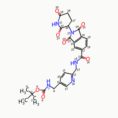 CC(C)(C)OC(=O)NCc1ccc(CNC(=O)c2ccc3c(c2)C(=O)N(C2CCC(=O)NC2=O)C3=O)nc1